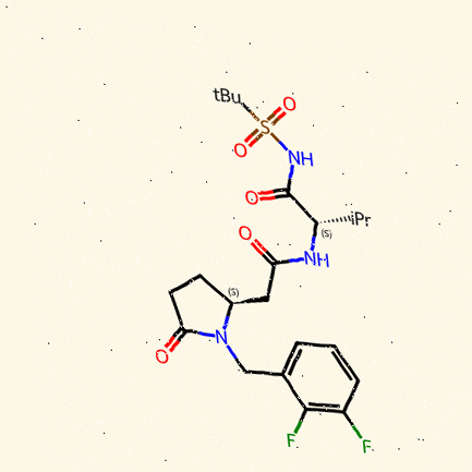 CC(C)[C@H](NC(=O)C[C@@H]1CCC(=O)N1Cc1cccc(F)c1F)C(=O)NS(=O)(=O)C(C)(C)C